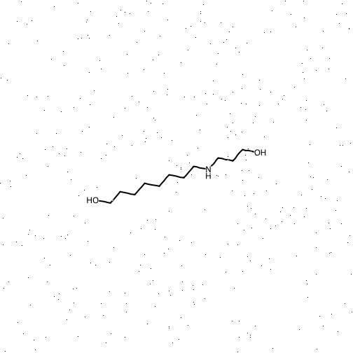 OCCCCCCCCNCCCO